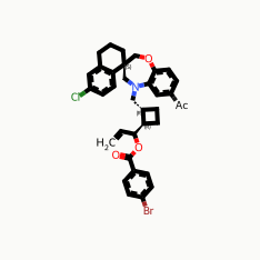 C=CC(OC(=O)c1ccc(Br)cc1)[C@@H]1CC[C@H]1CN1C[C@@]2(CCCc3cc(Cl)ccc32)COc2ccc(C(C)=O)cc21